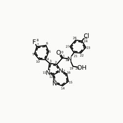 O=C(c1c(-c2ccc(F)cc2)nc2ncccn12)N(CO)c1ccc(Cl)cc1